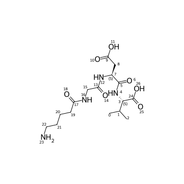 CC(C)[C@H](NC(=O)[C@H](CC(=O)O)NC(=O)CNC(=O)CCCCN)C(=O)O